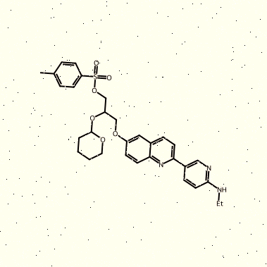 CCNc1ccc(-c2ccc3cc(OCC(COS(=O)(=O)c4ccc(C)cc4)OC4CCCCO4)ccc3n2)cn1